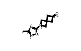 Cc1noc(N2CC3(CC(=O)C3)C2)n1